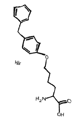 Br.NC(CCCCOc1ccc(Cc2ccccc2)cc1)C(=O)O